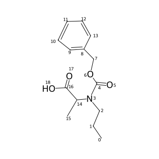 CCCN(C(=O)OCc1ccccc1)C(C)C(=O)O